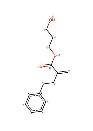 C=C(CCc1ccccc1)C(=O)OCCCO